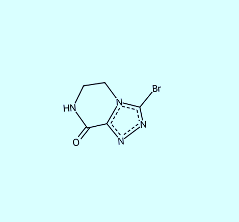 O=C1NCCn2c(Br)nnc21